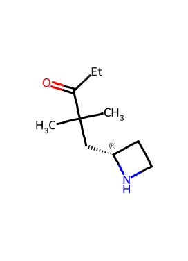 CCC(=O)C(C)(C)C[C@@H]1CCN1